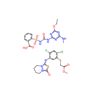 CCOc1nc(NC)nc(NC(=O)NS(=O)(=O)c2ccccc2C(=O)O)n1.COC(=O)CSc1cc(/N=c2\sc(=O)n3n2CCCC3)c(F)cc1Cl